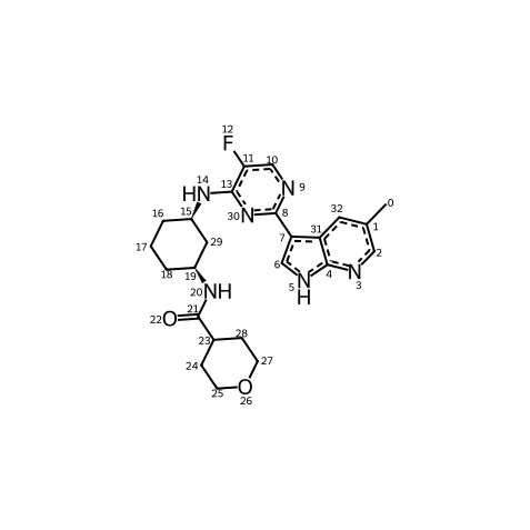 Cc1cnc2[nH]cc(-c3ncc(F)c(N[C@@H]4CCC[C@H](NC(=O)C5CCOCC5)C4)n3)c2c1